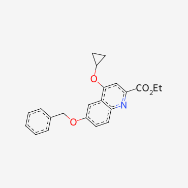 CCOC(=O)c1cc(OC2CC2)c2cc(OCc3ccccc3)ccc2n1